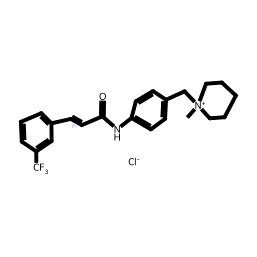 C[N+]1(Cc2ccc(NC(=O)/C=C/c3cccc(C(F)(F)F)c3)cc2)CCCCC1.[Cl-]